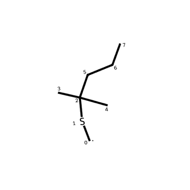 [CH2]SC(C)(C)CCC